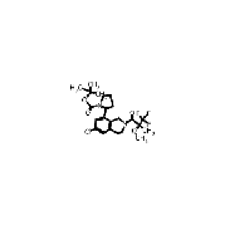 COC(C)(C(=O)N1CCc2cc(Cl)cc(C3CCCN3C(=O)OC(C)(C)C)c2C1)C(F)(F)F